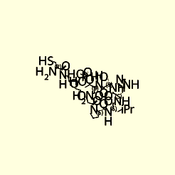 CC(C)C[C@H](NC(=O)[C@@H]1CCCN1C(=O)CCOCCOCCNC(=O)[C@@H](N)CS)C(=O)N[C@@H](Cc1cnc[nH]1)C(=O)N[C@@H](CO)C(=O)N[C@H](C(N)=O)C(C)OP(=O)(O)O